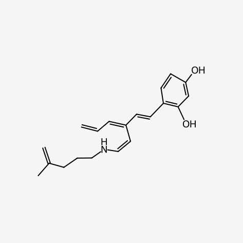 C=C/C=C(\C=C/NCCCC(=C)C)/C=C/c1ccc(O)cc1O